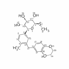 CS[C@H]1O[C@@H](c2ccc(C)c(Cc3ccc4c(c3)OCCO4)c2)[C@H](O)[C@@H](O)[C@@H]1O